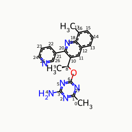 Cc1nc(N)nc(O[C@@H](C)c2cc3cccc(C)c3nc2-c2cccnc2)n1